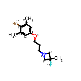 Cc1cc(OCCCN2CC(C)(F)C2)cc(C)c1Br